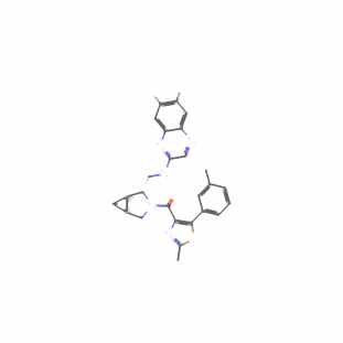 Cc1cccc(-c2sc(C)nc2C(=O)N2C[C@H]3C[C@H]3[C@H]2CNc2cnc3cc(F)c(F)cc3n2)c1